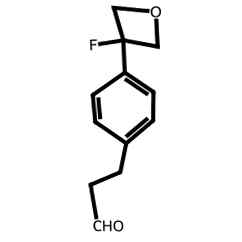 O=CCCc1ccc(C2(F)COC2)cc1